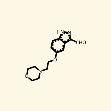 O=Cc1n[nH]c2ccc(OCCN3CCOCC3)cc12